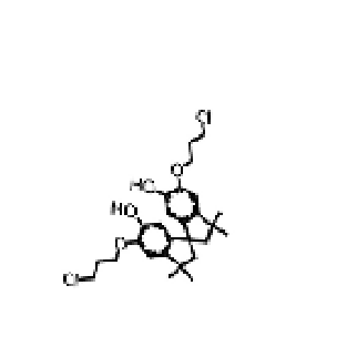 CC1(C)CC2(CC(C)(C)c3cc(OCCCCl)c(O)cc32)c2cc(O)c(OCCCCl)cc21